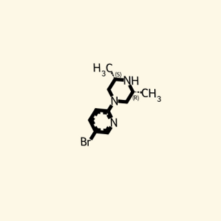 C[C@@H]1CN(c2ccc(Br)cn2)C[C@H](C)N1